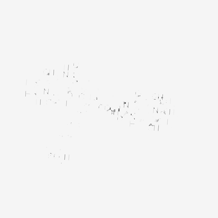 CN1C(C)(C)CC2(CC1(C)C)NC(=O)N(CC(O)CC(CCCCCCCCCC(=O)O)(CC(O)CN1C(=O)NC3(CC(C)(C)N(C)C(C)(C)C3)C1=O)C(=O)O)C2=O